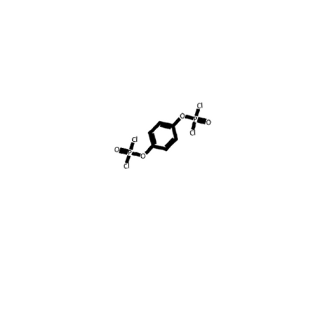 O=P(Cl)(Cl)Oc1ccc(OP(=O)(Cl)Cl)cc1